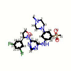 CN1CCN(c2cc(Nc3cc(N4OCC[C@@H]4c4cc(F)cc(F)c4)ncn3)cc(S(C)(=O)=O)c2)CC1